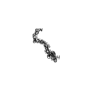 N#Cc1ccc(OC2CCN(C(=O)c3ccc(N4CCC5(CC4)CN(CC4CCN(c6ccc7c(c6)C(=O)N(C6CCC(=O)NC6=O)C7=O)CC4)C5)cc3)CC2)cc1Cl